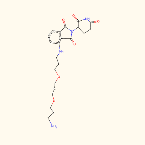 NCCCOCCCOCCCNc1cccc2c1C(=O)N(C1CCC(=O)NC1=O)C2=O